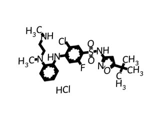 CNCCN(C)c1ccccc1Nc1cc(F)c(S(=O)(=O)Nc2cc(C(C)(C)C)on2)cc1Cl.Cl